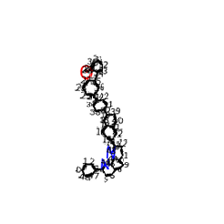 c1ccc(-c2ccc3ccc4ccc(-c5ccc6cc(-c7ccc(-c8ccc9oc%10ccccc%10c9c8)cc7)ccc6c5)nc4c3n2)cc1